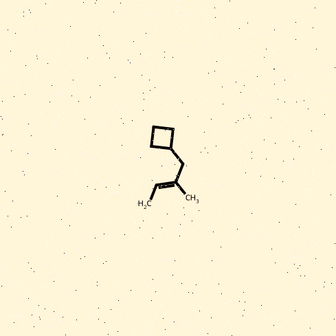 [CH2]C=C(C)CC1CCC1